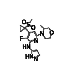 CC1COCCN1c1cc(C2(S(C)(=O)=O)CC2)c(F)c(Nc2ccn[nH]2)n1